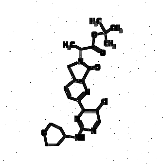 CC(C(=O)OC(C)(C)C)N1Cc2ccc(-c3nc(NC4CCOCC4)ncc3Cl)nc2C1=O